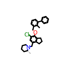 Cc1c(COc2c(Cl)cc(CN3CCCC[C@H]3C)c3c2CCC3)cccc1-c1ccccc1